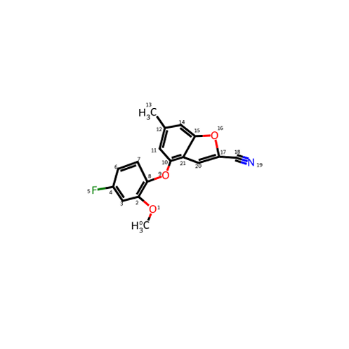 COc1cc(F)ccc1Oc1cc(C)cc2oc(C#N)cc12